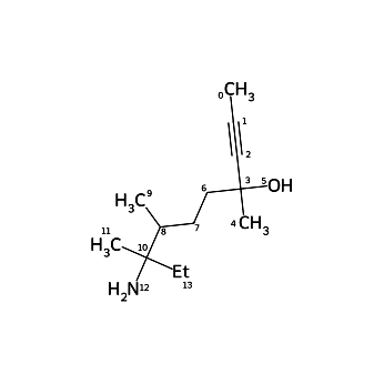 CC#CC(C)(O)CCC(C)C(C)(N)CC